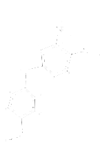 CCOc1ccc(Oc2ccc([N+](=O)[O-])c(N)c2)cc1